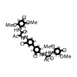 COc1cc(NC(=O)C(/N=N/c2ccc(-c3ccc(/N=N/C(C(C)=O)C(=O)Nc4cc(OC)c(Cl)cc4OC)c(Cl)c3)cc2Cl)C(C)=O)c(OC)cc1Cl